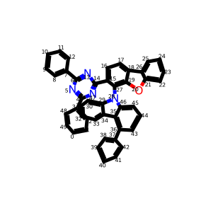 c1ccc(-c2nc(-c3ccccc3)nc(-c3ccc4c(oc5ccccc54)c3-n3c4ccccc4c4c(-c5ccccc5)cccc43)n2)cc1